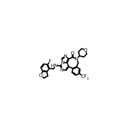 O=C1c2ncn3c(NCc4c(F)ccc5c4CCO5)ncc(c23)-c2ccc(C(F)(F)F)cc2CN1C1CCOCC1